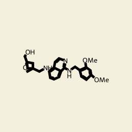 COc1ccc(CNc2nccc3c(NCC45COC(CO)(C4)C5)cccc23)c(OC)c1